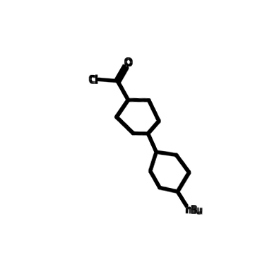 CCCCC1CCC(C2CCC(C(=O)Cl)CC2)CC1